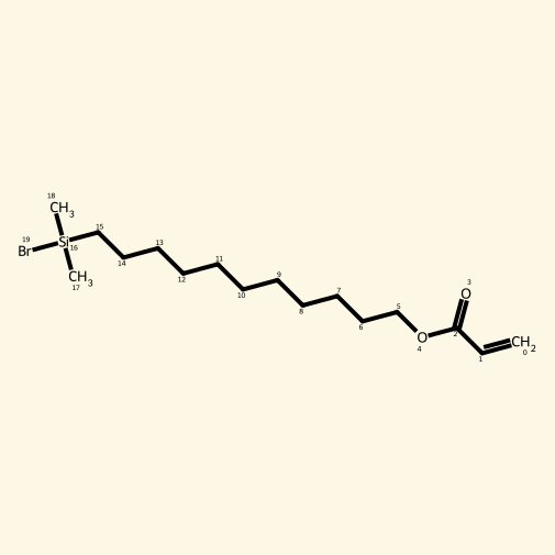 C=CC(=O)OCCCCCCCCCCC[Si](C)(C)Br